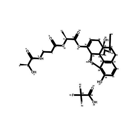 C[C@H](O)C(=O)NCCC(=O)O[C@@H](C)C(=O)OC1=CC[C@]2(O)C3Cc4ccc(O)c5c4[C@@]2(CCN3C)[C@H]1O5.O=C(O)C(F)(F)F